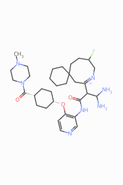 CN1CCN(C(=O)[C@H]2CC[C@@H](Oc3ccncc3NC(=O)C(/C3=N/CC(F)CCC4(CCCCC4)C3)C(N)N)CC2)CC1